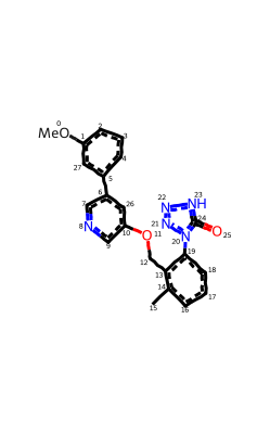 COc1cccc(-c2cncc(OCc3c(C)cccc3-n3nn[nH]c3=O)c2)c1